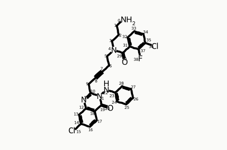 NCCCN(CCC#CCc1nc2cc(Cl)ccc2c(=O)n1Nc1ccccc1)C(=O)c1cccc(Cl)c1F